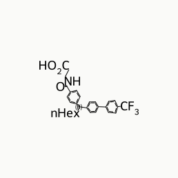 CCCCCC[C@@H](c1ccc(C(=O)NCCC(=O)O)cc1)c1ccc(-c2ccc(C(F)(F)F)cc2)cc1